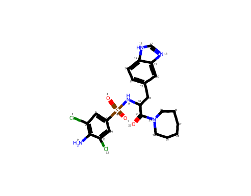 Nc1c(Cl)cc(S(=O)(=O)NC(Cc2ccc3[nH]cnc3c2)C(=O)N2CCCCCC2)cc1Cl